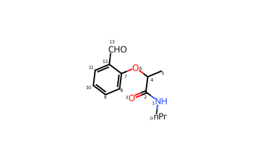 CCCNC(=O)C(C)Oc1ccccc1C=O